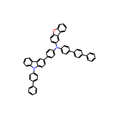 c1ccc(-c2ccc(-c3ccc(N(c4ccc(-c5ccc6c(c5)c5ccccc5n6-c5ccc(-c6ccccc6)cc5)cc4)c4ccc5oc6ccccc6c5c4)cc3)cc2)cc1